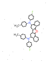 Cc1ccc(N(c2ccc(F)cc2)c2cc3c4cc(N(c5ccc(C)cc5)c5ccc(F)cc5)c5ccccc5c4oc3c3ccccc23)cc1